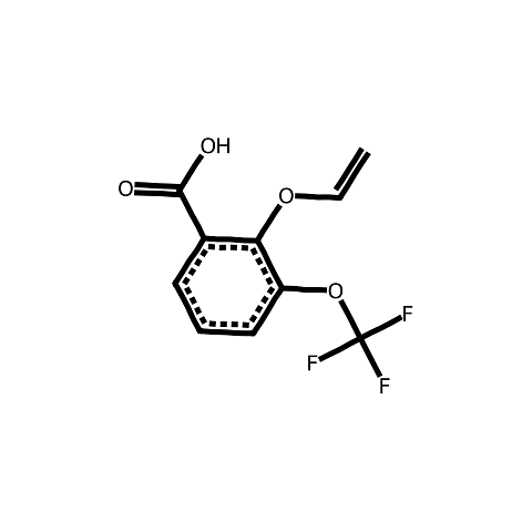 C=COc1c(OC(F)(F)F)cccc1C(=O)O